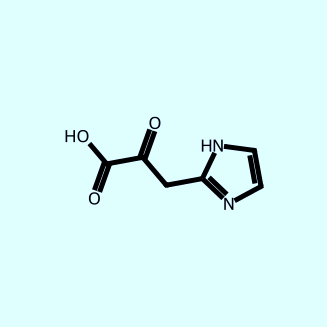 O=C(O)C(=O)Cc1ncc[nH]1